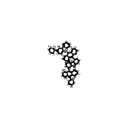 C1=C[C@H]2c3c(cccc3-c3c4ccccc4c(-n4c5ccccc5c5cc(-c6ccccc6)ccc54)c4ccccc34)OC2C(c2c3ccccc3c(-c3ccccc3)c3ccccc23)=C1